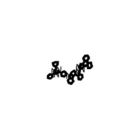 c1ccc(-c2nc(-c3ccccc3)nc(-c3ccc(-n4c5ccccc5c5c6c7ccccc7n(-c7ncc8c9ccccc9c9ccccc9c8n7)c6ccc54)cc3)n2)cc1